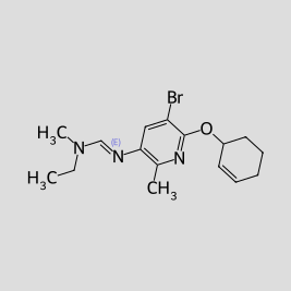 CCN(C)/C=N/c1cc(Br)c(OC2C=CCCC2)nc1C